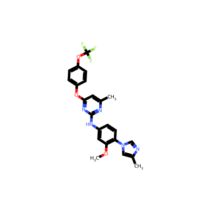 COc1cc(Nc2nc(C)cc(Oc3ccc(OC(F)(F)F)cc3)n2)ccc1-n1cnc(C)c1